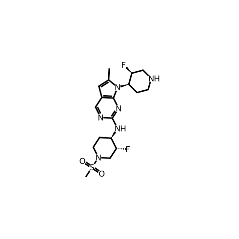 Cc1cc2cnc(N[C@@H]3CCN(S(C)(=O)=O)C[C@H]3F)nc2n1[C@@H]1CCNC[C@@H]1F